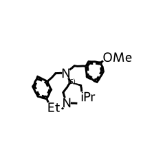 CCc1cccc(CN(Cc2cccc(OC)c2)[C@@H](CC(C)C)CN(C)C)c1